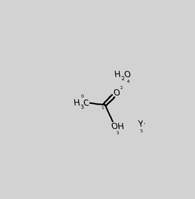 CC(=O)O.O.[Y]